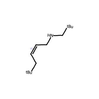 CC(C)(C)C/C=C\CNCC(C)(C)C